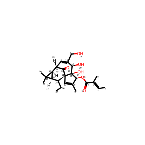 C/C=C(\C)C(=O)O[C@H]1C(C)=C[C@]23C(=O)[C@@H](C=C(CO)[C@@H](O)[C@]12O)[C@H]1[C@@H](C3CC)C1(C)C